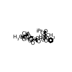 CC(C)OC(=O)[C@H](C)NP(=O)(OC[C@H]1OC[C@@H](n2ccc(NC(=O)C(C)N(C)C)nc2=O)O1)Oc1ccccc1